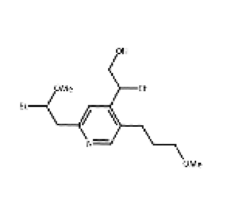 CCC(Cc1cc(C(CC)CO)c(CCCOC)cn1)OC